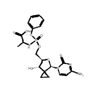 COC(=O)C(C)NP(=O)(OC[C@H]1O[C@@H](n2ccc(N)nc2=O)C2(CC2)[C@@H]1O)Oc1ccccc1